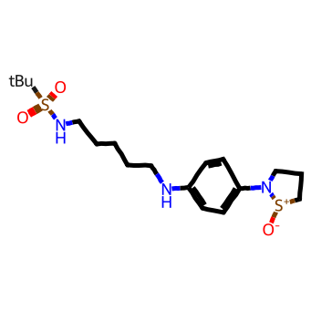 CC(C)(C)S(=O)(=O)NCCCCCNc1ccc(N2CCC[S+]2[O-])cc1